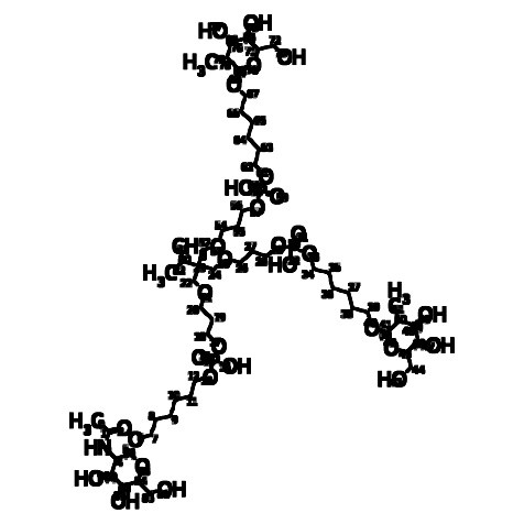 CC(=O)NC1[C@H](OCCCCCCOP(=O)(O)OCCCOCC(COCCCOP(=O)(O)OCCCCCCO[C@@H]2OC(CO)[C@H](O)[C@H](O)C2C)(COCCCOP(=O)(O)OCCCCCCO[C@@H]2OC(CO)[C@H](O)[C@H](O)C2C)C(C)C)OC(CO)[C@H](O)[C@@H]1O